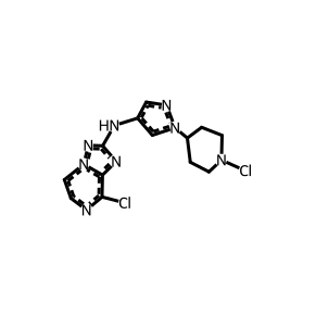 Clc1nccn2nc(Nc3cnn(C4CCN(Cl)CC4)c3)nc12